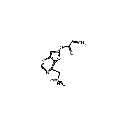 C=CC(=O)Oc1cc2ncnc(C[SH](=O)=O)c2s1